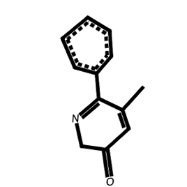 CC1=CC(=O)CN=C1c1ccccc1